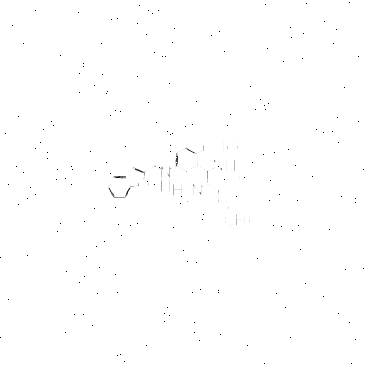 NC(CCCC=O)C(N)C1CC(NCc2cc3ccccc3o2)=CC=C1C=O